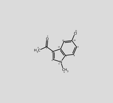 CC(=O)c1cn(C)c2ccc(Cl)cc12